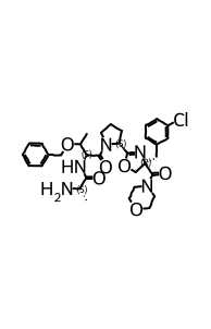 CC(OCc1ccccc1)[C@H](NC(=O)[C@H](C)N)C(=O)N1CCC[C@H]1C1=N[C@@](Cc2cccc(Cl)c2)(C(=O)N2CCOCC2)CO1